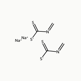 C=NC(=S)[S-].C=NC(=S)[S-].[Na+].[Na+]